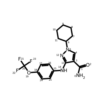 NC(=O)c1cn(C2CCCCC2)nc1Nc1ccc(OC(F)(F)F)cc1